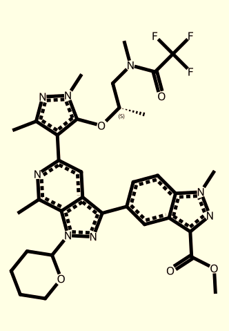 COC(=O)c1nn(C)c2ccc(-c3nn(C4CCCCO4)c4c(C)nc(-c5c(C)nn(C)c5O[C@@H](C)CN(C)C(=O)C(F)(F)F)cc34)cc12